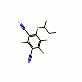 CCC(C)Sc1c(F)c(F)c(C#N)c(F)c1C#N